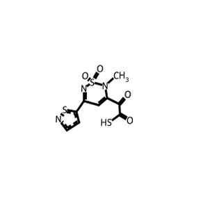 CN1C(C(=O)C(=O)S)=CC(c2ccns2)=NS1(=O)=O